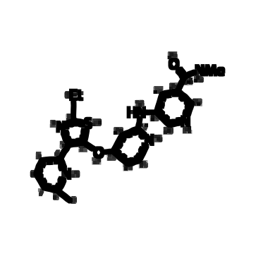 CCc1nc(-c2cccc(C)n2)c(Oc2ccnc(Nc3cncc(C(=O)NC)c3)c2)s1